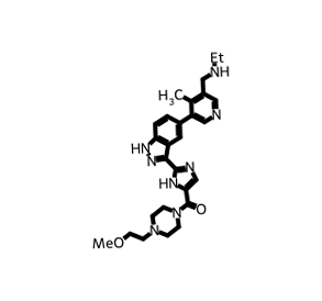 CCNCc1cncc(-c2ccc3[nH]nc(-c4ncc(C(=O)N5CCN(CCOC)CC5)[nH]4)c3c2)c1C